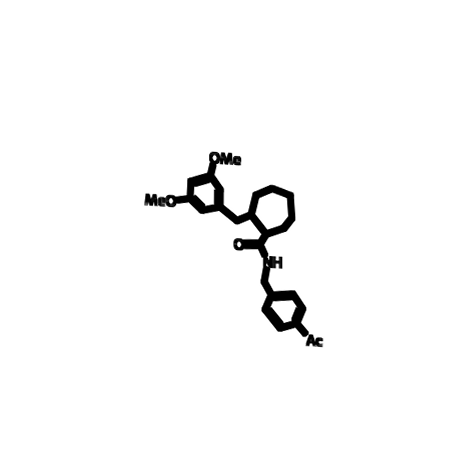 COc1cc(CC2CCCCCC2C(=O)NCc2ccc(C(C)=O)cc2)cc(OC)c1